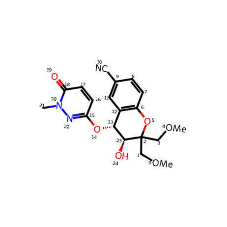 COCC1(COC)Oc2ccc(C#N)cc2[C@@H](Oc2ccc(=O)n(C)n2)[C@@H]1O